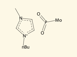 CCCC[n+]1ccn(C)c1.O=[P](=O)[Mo]